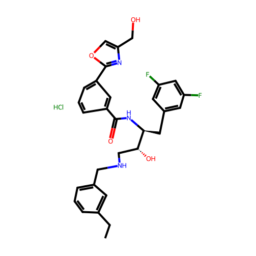 CCc1cccc(CNC[C@@H](O)[C@H](Cc2cc(F)cc(F)c2)NC(=O)c2cccc(-c3nc(CO)co3)c2)c1.Cl